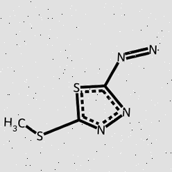 CSc1nnc(N=[N])s1